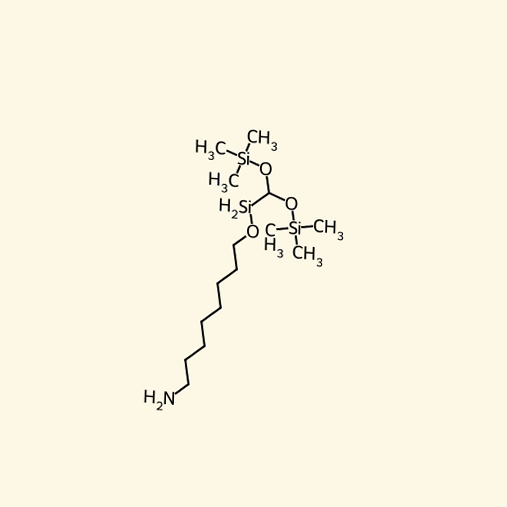 C[Si](C)(C)OC(O[Si](C)(C)C)[SiH2]OCCCCCCCCN